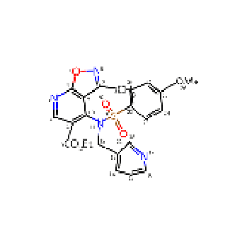 CCOC(=O)c1cnc2onc(C)c2c1N(Cc1cccnc1)S(=O)(=O)c1ccc(OC)cc1